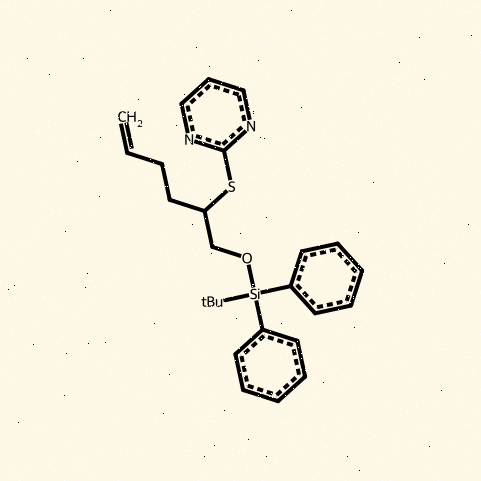 C=CCCC(CO[Si](c1ccccc1)(c1ccccc1)C(C)(C)C)Sc1ncccn1